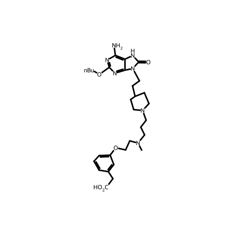 CCCCOc1nc(N)c2[nH]c(=O)n(CCC3CCN(CCCN(C)CCOc4cccc(CC(=O)O)c4)CC3)c2n1